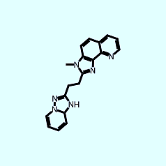 Cn1c(CCC2=NN3C=CC=CC3N2)nc2c3ncccc3ccc21